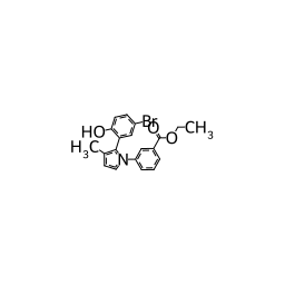 CCOC(=O)c1cccc(-n2ccc(C)c2-c2cc(Br)ccc2O)c1